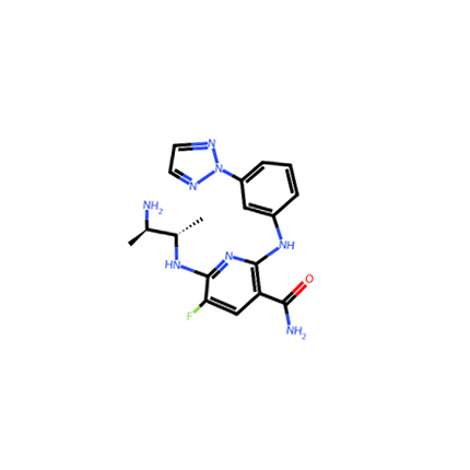 C[C@H](Nc1nc(Nc2cccc(-n3nccn3)c2)c(C(N)=O)cc1F)[C@@H](C)N